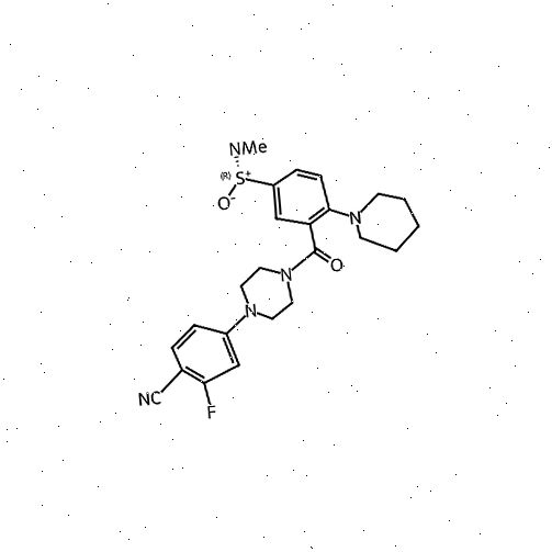 CN[S@@+]([O-])c1ccc(N2CCCCC2)c(C(=O)N2CCN(c3ccc(C#N)c(F)c3)CC2)c1